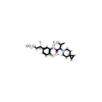 CC(C(C(=O)Nc1cc([C@@H](C)CC(=O)O)ccc1Cl)N1CCC2(CC1)CC2)C(F)(F)F